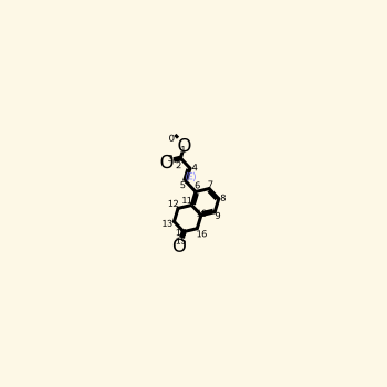 COC(=O)/C=C/c1cccc2c1CCC(=O)C2